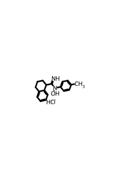 Cc1ccc(N(O)C(=N)C2CCCc3ccccc32)cc1.Cl